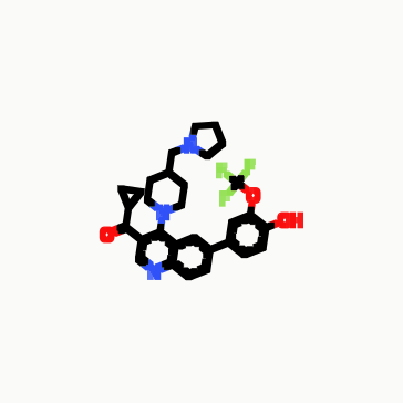 O=C(c1cnc2ccc(-c3ccc(O)c(OC(F)(F)F)c3)cc2c1N1CCC(CN2CCCC2)CC1)C1CC1